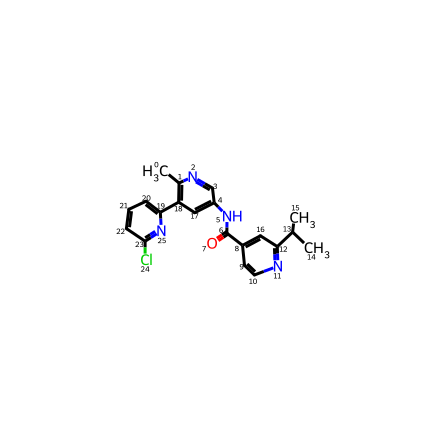 Cc1ncc(NC(=O)c2ccnc(C(C)C)c2)cc1-c1cccc(Cl)n1